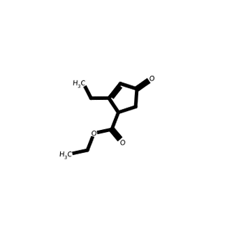 CCOC(=O)C1CC(=O)C=C1CC